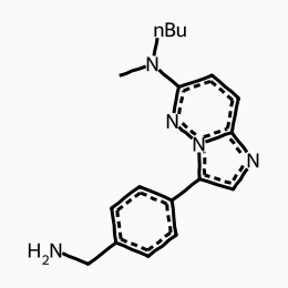 CCCCN(C)c1ccc2ncc(-c3ccc(CN)cc3)n2n1